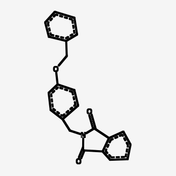 O=C1c2ccccc2C(=O)N1Cc1ccc(OCc2ccccc2)cc1